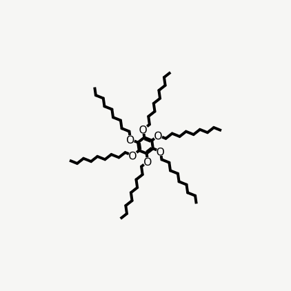 CCCCCCCCCOc1c(OCCCCCCCCC)c(OCCCCCCCCC)c(OCCCCCCCCC)c(OCCCCCCCCC)c1OCCCCCCCCC